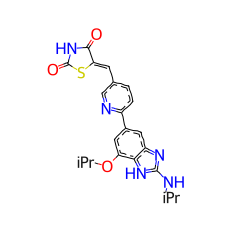 CC(C)Nc1nc2cc(-c3ccc(/C=C4\SC(=O)NC4=O)cn3)cc(OC(C)C)c2[nH]1